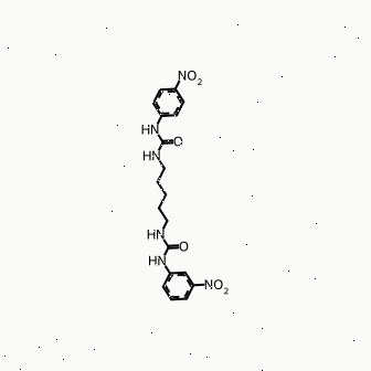 O=C(NCCCCCNC(=O)Nc1cccc([N+](=O)[O-])c1)Nc1ccc([N+](=O)[O-])cc1